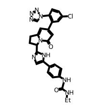 CCNC(=O)Nc1ccc(-c2cnc(C3CCc4cc(-c5cc(Cl)ccc5-n5cnnn5)cc(=O)n43)[nH]2)cc1